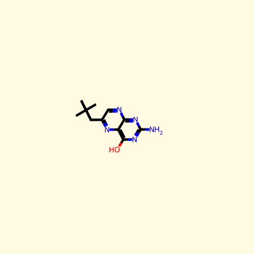 CC(C)(C)Cc1cnc2nc(N)nc(O)c2n1